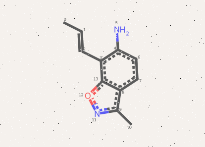 C/C=C/c1c(N)ccc2c(C)noc12